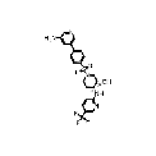 Nc1cncc(-c2ccc(S(=O)(=O)N3CC[C@@H](Nc4ccc(C(F)(F)F)cn4)[C@@H](O)C3)cc2)c1